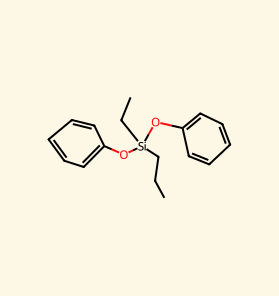 CCC[Si](CC)(Oc1ccccc1)Oc1ccccc1